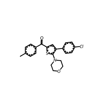 Cc1ccc(C(=O)c2cc(-c3ccc(Cl)cc3)c(N3CCOCC3)s2)cc1